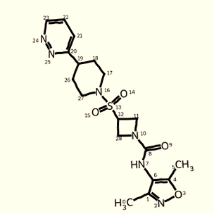 Cc1noc(C)c1NC(=O)N1CC(S(=O)(=O)N2CCC(c3cccnn3)CC2)C1